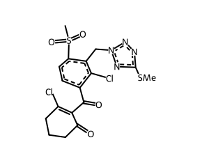 CSc1nnn(Cc2c(S(C)(=O)=O)ccc(C(=O)C3=C(Cl)CCCC3=O)c2Cl)n1